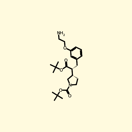 CC(C)(C)OC(=O)[C@H](Cc1cccc(OCCN)c1)[C@@H]1CCN(C(=O)OC(C)(C)C)C1